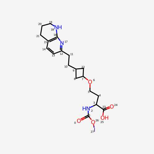 O=C(NC(CCOC1CC(CCc2ccc3c(n2)NCCC3)C1)C(=O)O)OI